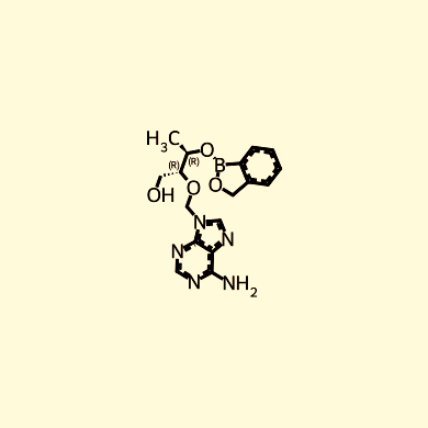 C[C@@H](OB1OCc2ccccc21)[C@@H](CO)OCn1cnc2c(N)ncnc21